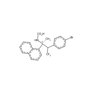 C[C@@](NC(=O)O)(c1cccc2ccccc12)C(c1ccc(Br)cc1)C(F)(F)F